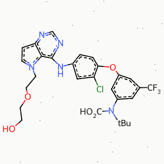 CC(C)(C)N(C(=O)O)c1cc(Oc2ccc(Nc3ncnc4ccn(CCOCCO)c34)cc2Cl)cc(C(F)(F)F)c1